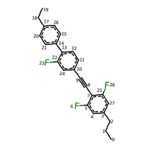 CCCc1cc(F)c(C#Cc2ccc(-c3ccc(CC)cc3)c(F)c2)c(F)c1